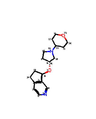 c1cc2c(cn1)C(O[C@@H]1CCN(C3CCOCC3)C1)CC2